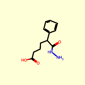 NNC(=O)C(CCCC(=O)O)c1ccccc1